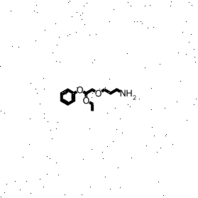 CCOC(COCCCN)Oc1ccccc1